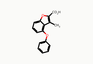 Cc1c(C(=O)O)oc2cccc(Oc3ccccc3)c12